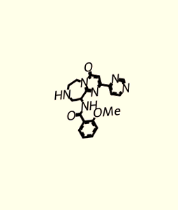 COc1ccccc1C(=O)NC1CNCCn2c1nc(-c1ccncn1)cc2=O